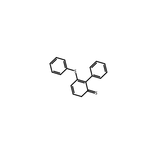 S=C1CC=CC(Sc2ccccc2)=C1c1ccccc1